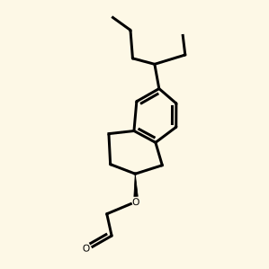 CCCC(CC)c1ccc2c(c1)CC[C@H](OCC=O)C2